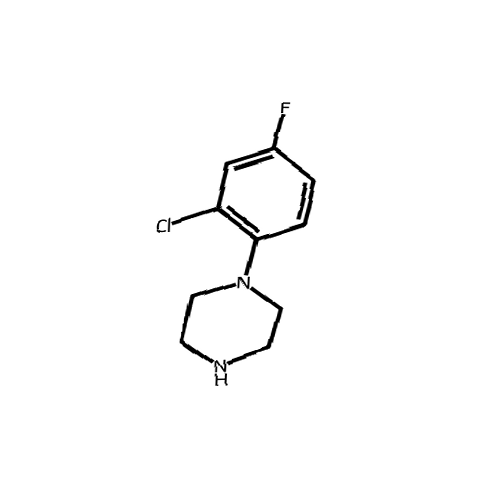 Fc1ccc(N2CCNCC2)c(Cl)c1